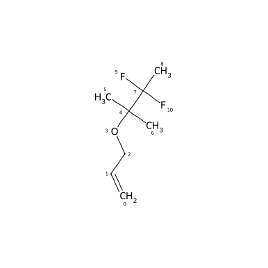 C=CCOC(C)(C)C(C)(F)F